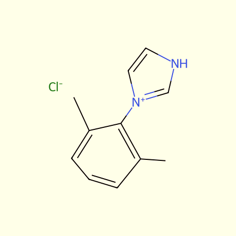 Cc1cccc(C)c1-[n+]1cc[nH]c1.[Cl-]